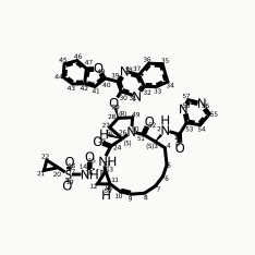 O=C(N[C@H]1CCCCCC=C[C@@H]2C[C@@]2(C(=O)NS(=O)(=O)C2CC2)NC(=O)[C@@H]2C[C@@H](Oc3nc4ccccc4nc3-c3cc4ccccc4o3)CN2C1=O)c1ccncn1